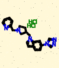 Cl.Cl.c1ccc(CN2CCC(Cn3ccc4ccc(-n5cnnc5)cc43)C2)nc1